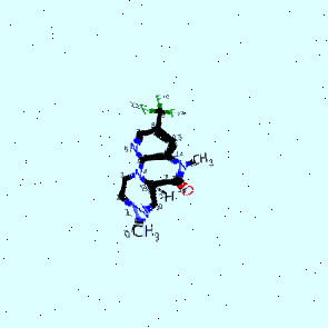 CN1CCN2c3ncc(C(F)(F)F)cc3N(C)C(=O)[C@H]2C1